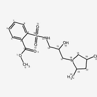 COC(=O)c1ccccc1S(=O)(=O)NCC(O)CN1CC(C)CC1C